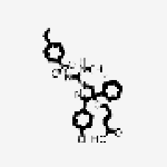 CN/C(=N\S(=O)(=O)c1ccc(CI)cc1)N1CC(OC/C=C/C(=O)O)(c2ccccc2)C(c2ccc(Cl)cc2)=N1